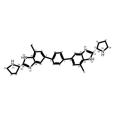 Cc1cc(-c2ccc(-c3cc(C)c4[nH]c([C@@H]5CCCN5)nc4c3)cc2)cc2nc([C@@H]3CCCN3)[nH]c12